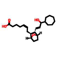 O=C(O)CCC/C=C\C[C@H]1[C@H](/C=C/C(O)C2CCCCCC2)[C@@H]2CC[C@H]1O2